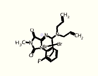 C=CCN(CC=C)C(/N=C1/C(=O)N(C)C(=O)N1c1ccccc1F)C(Br)(Br)CCl